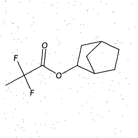 CC(F)(F)C(=O)OC1CC2CCC1C2